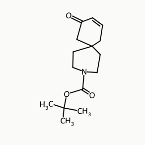 CC(C)(C)OC(=O)N1CCC2(CC=CC(=O)C2)CC1